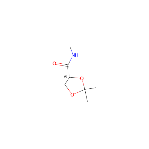 CNC(=O)[C@H]1COC(C)(C)O1